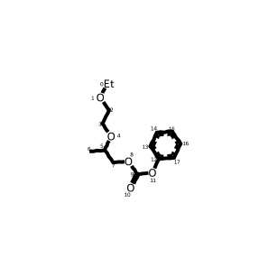 CCOCCOC(C)COC(=O)Oc1ccccc1